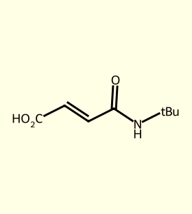 CC(C)(C)NC(=O)C=CC(=O)O